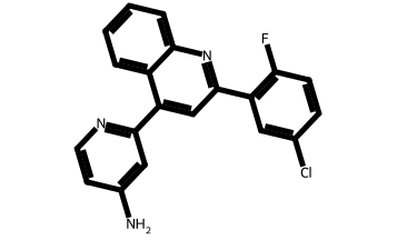 Nc1ccnc(-c2cc(-c3cc(Cl)ccc3F)nc3ccccc23)c1